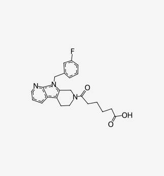 O=C(O)CCCCC(=O)N1CCc2c(n(Cc3cccc(F)c3)c3ncccc23)C1